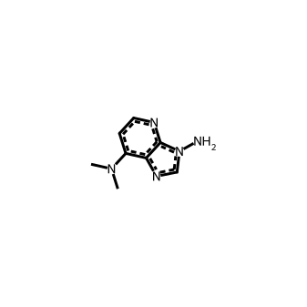 CN(C)c1ccnc2c1ncn2N